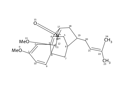 COC1=CC2=C3CC4CC2(C=C1)/C=C(/OC)[N+](=O)/C=C\3CC4CC=C(C)C